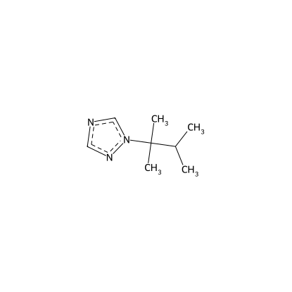 CC(C)C(C)(C)n1cncn1